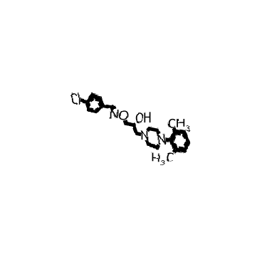 Cc1cccc(C)c1N1CCN(CC(O)CON=Cc2ccc(Cl)cc2)CC1